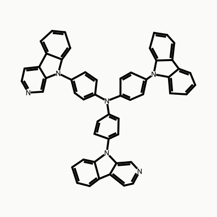 c1ccc2c(c1)c1ccccc1n2-c1ccc(N(c2ccc(-n3c4ccccc4c4ccncc43)cc2)c2ccc(-n3c4ccccc4c4ccncc43)cc2)cc1